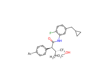 CC(=O)c1ccc([C@@H](C(=O)Nc2cc(CC3CC3)ccc2F)[C@@H](C)C(F)(F)F)cc1.O=C(O)O